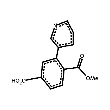 COC(=O)c1ccc(C(=O)O)cc1-c1cccnc1